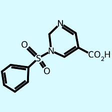 O=C(O)C1=CN(S(=O)(=O)c2ccccc2)CN=C1